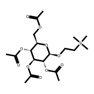 CC(=O)OC[C@H]1O[C@@H](OCC[Si](C)(C)C)[C@H](OC(C)=O)[C@@H](OC(C)=O)[C@@H]1OC(C)=O